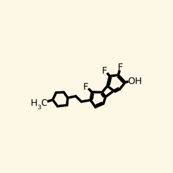 CC1CCC(CCc2ccc3c(c2F)-c2c-3cc(O)c(F)c2F)CC1